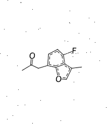 CC(=O)Cc1ccc(F)c2c(C)coc12